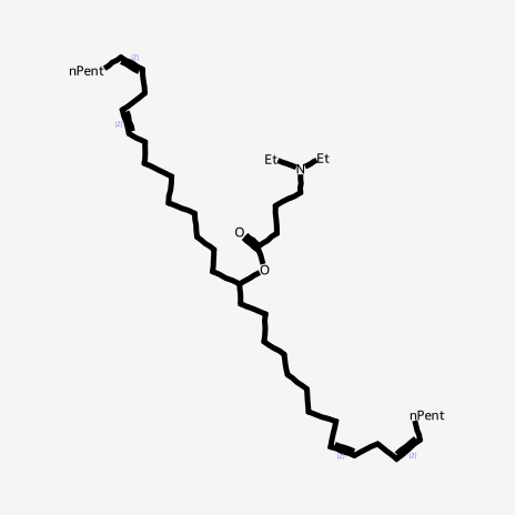 CCCCC/C=C\C/C=C\CCCCCCCCC(CCCCCCCC/C=C\C/C=C\CCCCC)OC(=O)CCCN(CC)CC